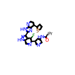 CC(C)C(=O)Nc1cncc(-c2ncc3[nH]nc(-c4nc5c(-c6cccs6)ccnc5[nH]4)c3c2F)c1